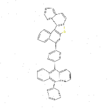 c1ccc(-c2c3ccccc3c(-c3ccc(-c4cc5sc6ccc7ccccc7c6c5c5ccccc45)cc3)c3ccccc23)cc1